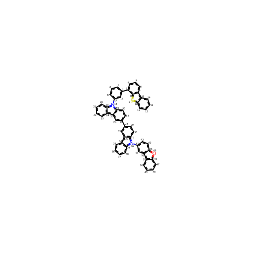 c1cc(-c2cccc3c2sc2ccccc23)cc(-n2c3ccccc3c3cc(-c4ccc5c(c4)c4ccccc4n5-c4ccc5oc6ccccc6c5c4)ccc32)c1